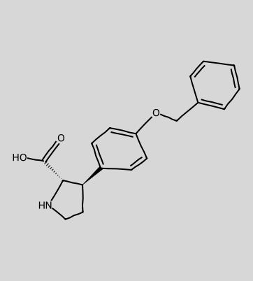 O=C(O)[C@H]1NCC[C@@H]1c1ccc(OCc2ccccc2)cc1